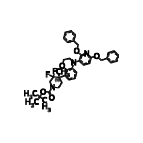 CC(C)(C)OC(=O)N1CC[C@@](C)(c2cccc3c2OCCN3c2ccc(OCc3ccccc3)nc2OCc2ccccc2)C(F)(F)C1